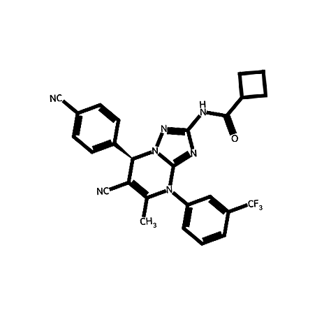 CC1=C(C#N)[C@@H](c2ccc(C#N)cc2)n2nc(NC(=O)C3CCC3)nc2N1c1cccc(C(F)(F)F)c1